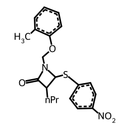 CCCC1C(=O)N(COc2ccccc2C)C1Sc1ccc([N+](=O)[O-])cc1